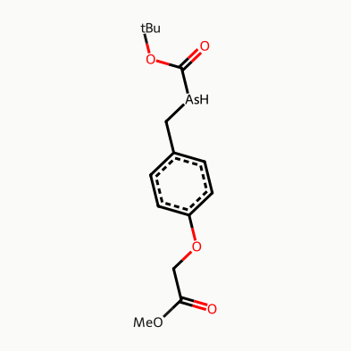 COC(=O)COc1ccc(C[AsH]C(=O)OC(C)(C)C)cc1